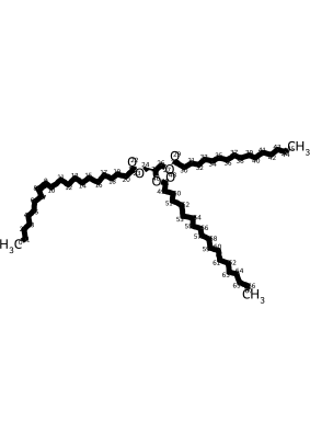 CCCCCCCC/C=C\CCCCCCCCCCCC(=O)OC[C@@H](COC(=O)CCCCCCCCCCCCCCCC)OC(=O)CCCCCCCCCCCCCCCCCCC